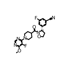 COc1ncnc(N2CCC(C(=O)N3OCC[C@H]3c3cc(F)cc(C#N)c3)CC2)c1F